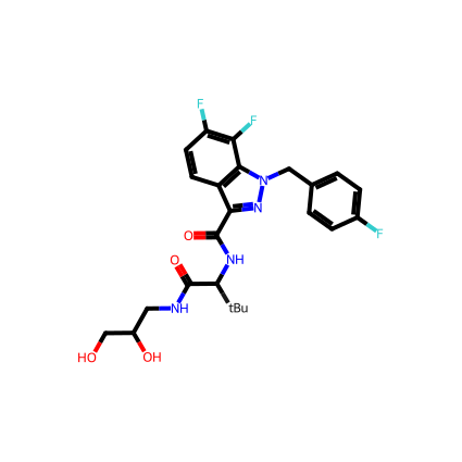 CC(C)(C)C(NC(=O)c1nn(Cc2ccc(F)cc2)c2c(F)c(F)ccc12)C(=O)NCC(O)CO